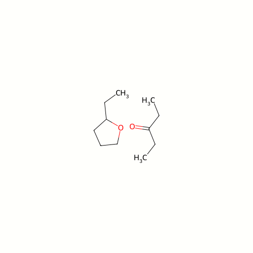 CCC(=O)CC.CCC1CCCO1